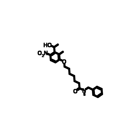 Cc1c(OCCCCCCC(=O)N(C)Cc2ccccc2)ccc([N+](=O)[O-])c1C(C)O